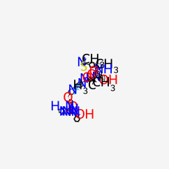 Cc1ncsc1-c1ccc([C@H](C)NC(=O)[C@@H]2C[C@@H](O)CN2C(=O)[C@H](c2cc(N3CCC(F)(CN4CCC(O[C@H]5C[C@H](Oc6cc(N7C8CCC7CN(c7cc(-c9ccccc9O)nnc7N)C8)ccn6)C5)CC4)CC3)no2)C(C)C)cc1